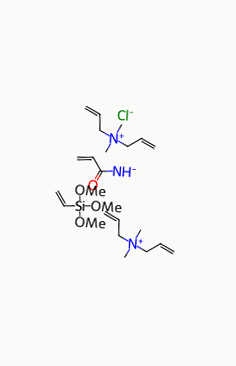 C=CC([NH-])=O.C=CC[N+](C)(C)CC=C.C=CC[N+](C)(C)CC=C.C=C[Si](OC)(OC)OC.[Cl-]